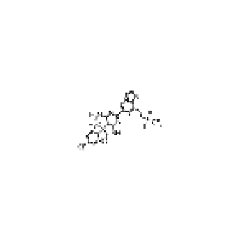 CC1(c2ccc(Cl)cn2)C(=O)Nc2nc(-c3cn4ccnc4c(CCC(F)(F)C(F)(F)F)n3)nc(N)c21